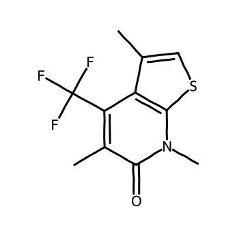 Cc1c(C(F)(F)F)c2c(C)csc2n(C)c1=O